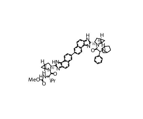 COC(=O)N[C@H](C(=O)N1[C@@H]2C[C@@H]2C[C@H]1c1nc2ccc3cc(-c4ccc5c(ccc6[nH]c([C@@H]7C[C@H]8C[C@H]8N7C(=O)C(c7ccccc7)N7C8CCC7CC8)nc65)c4)ccc3c2[nH]1)C(C)C